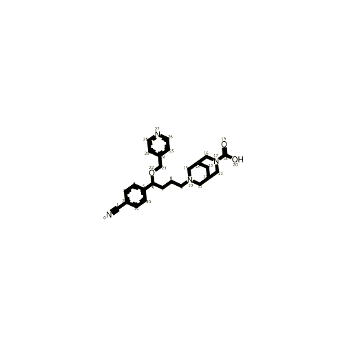 N#Cc1ccc(C(CCCN2CC3CC(C2)CN(C(=O)O)C3)OCc2ccncc2)cc1